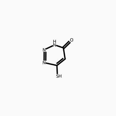 O=c1cc(S)nn[nH]1